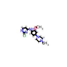 COc1cc(N2CCN(C)CC2)ccc1Nc1ccnc(Cl)n1